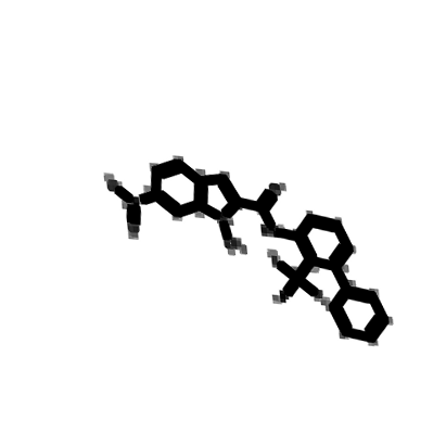 Cn1c(C(=O)Nc2cccc(-c3ccccc3)c2C(F)(F)F)cc2ccc([N+](=O)[O-])cc21